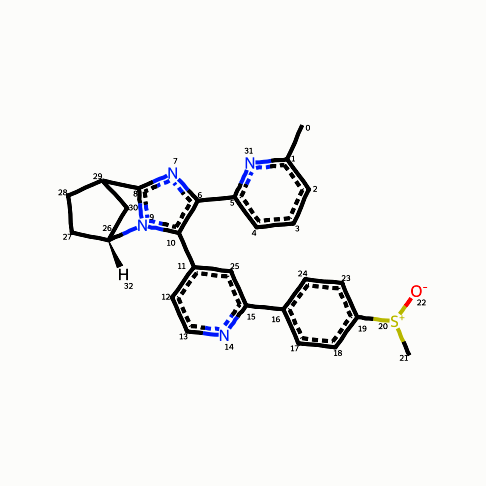 Cc1cccc(-c2nc3n(c2-c2ccnc(-c4ccc([S+](C)[O-])cc4)c2)[C@@H]2CCC3C2)n1